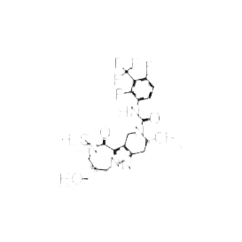 C[C@@H]1Cc2nn3c(c2CN1C(=O)Nc1ccc(F)c(C(F)(F)F)c1F)C(=O)N(C)C[C@@H](CO)C3